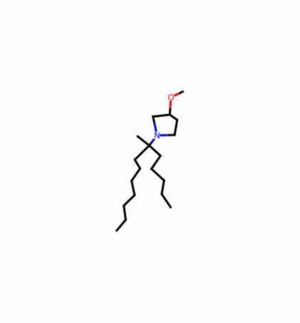 CCCCCCCC(C)(CCCCC)N1CCC(OC)C1